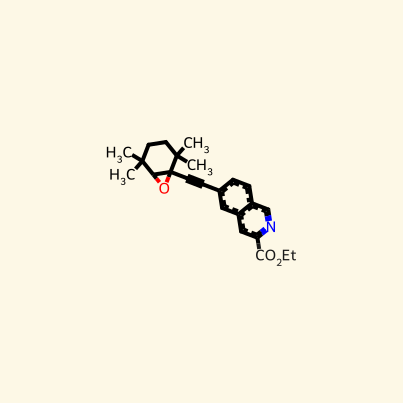 CCOC(=O)c1cc2cc(C#CC34OC3C(C)(C)CCC4(C)C)ccc2cn1